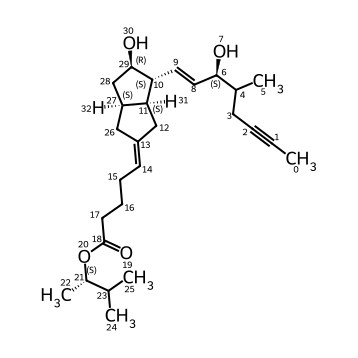 CC#CCC(C)[C@H](O)C=C[C@@H]1[C@H]2CC(=CCCCC(=O)O[C@@H](C)C(C)C)C[C@H]2C[C@H]1O